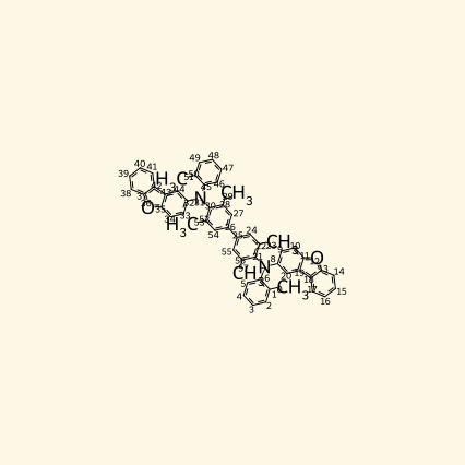 Cc1ccccc1N(c1ccc2oc3ccccc3c2c1)c1c(C)cc(-c2cc(C)c(N(c3ccc4oc5ccccc5c4c3)c3ccccc3C)c(C)c2)cc1C